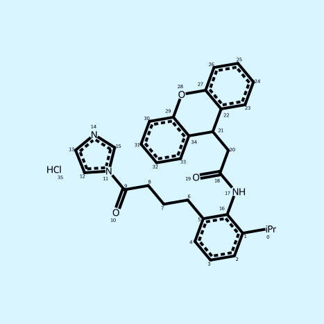 CC(C)c1cccc(CCCC(=O)n2ccnc2)c1NC(=O)CC1c2ccccc2Oc2ccccc21.Cl